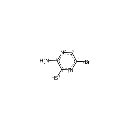 Nc1ncc(Br)nc1S